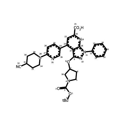 CC(C)(C)OC(=O)N1CCC(Oc2nn(-c3ccccc3)c3nc(C(=O)O)cc(-c4ccc(N5CCC(C#N)CC5)nc4)c23)C1